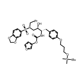 CC(C)CN(C[C@@H](O)[C@H](Cc1ccc(OCCCO[Si](C)(C)C(C)(C)C)cc1)NC(=O)Oc1ccoc1)S(=O)(=O)c1ccc2c(c1)OCO2